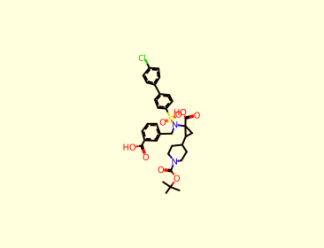 CC(C)(C)OC(=O)N1CCC(C2CC2(C(=O)O)N(Cc2cccc(C(=O)O)c2)S(=O)(=O)c2ccc(-c3ccc(Cl)cc3)cc2)CC1